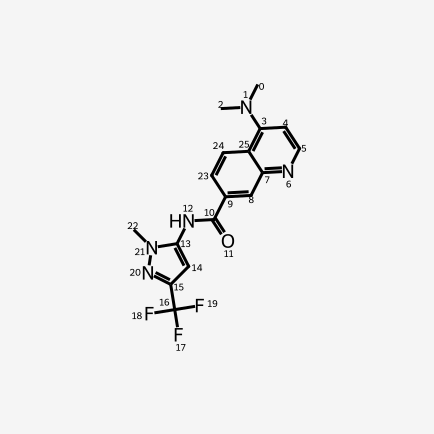 CN(C)c1ccnc2cc(C(=O)Nc3cc(C(F)(F)F)nn3C)ccc12